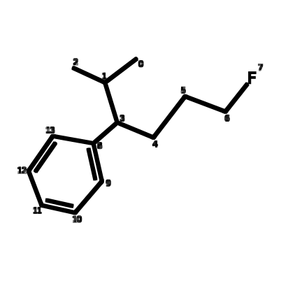 CC(C)C(CCCF)c1ccccc1